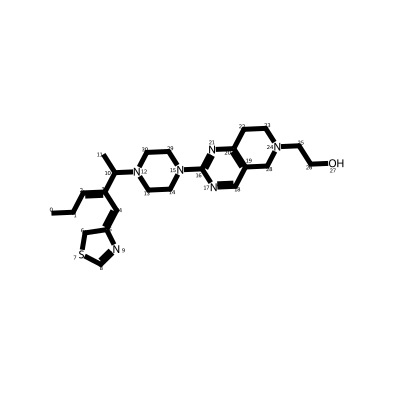 CC/C=C(\C=C1/CSC=N1)C(C)N1CCN(c2ncc3c(n2)CCN(CCO)C3)CC1